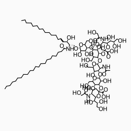 CCCCCCCCCCCCC/C=C/[C@@H](O)[C@H](CO[C@@H]1OC(CO)[C@@H](O[C@@H]2OC(CO)[C@H](O[C@@H]3OC(CO)[C@H](O)[C@H](O[C@@H]4OC(CO)[C@H](O)[C@H](O[C@]5(C(=O)O)CC(O)[C@@H](NC(=O)CO)C([C@H](O)[C@H](O)CO)O5)C4O)C3NC(C)=O)[C@H](O[C@]3(C(=O)O)CC(O)[C@@H](NC(=O)CO)C([C@H](O)[C@H](O)CO)O3)C2O)[C@H](O)C1O)NC(=O)CCCCCCCCCCCCCCCCCCCCC